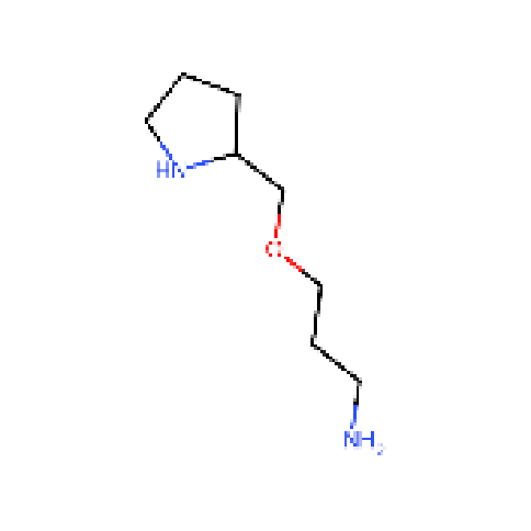 NCCCOCC1CCCN1